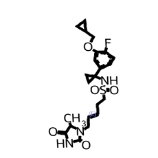 CC1C(=O)NC(=O)N1C/C=C/CCS(=O)(=O)NC1(c2ccc(F)c(OCC3CC3)c2)CC1